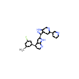 Cc1cc(F)cc(-c2ccnc3[nH]c(-c4n[nH]c5cnc(-c6cccnc6)cc45)cc23)c1